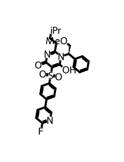 COC[C@@H](c1ccccc1)n1c(CCC(C)C)nc(=O)c(S(=O)(=O)c2ccc(-c3ccc(F)nc3)cc2)c1O